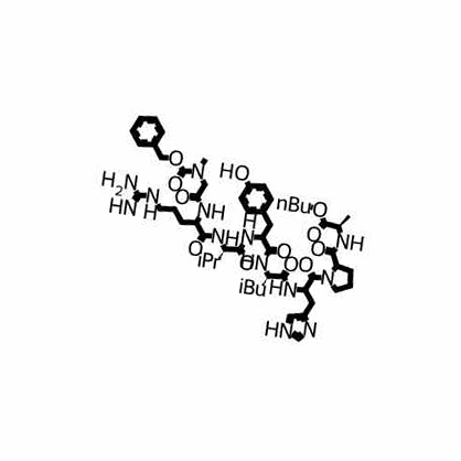 CCCCOC(=O)[C@@H](C)NC(=O)C1CCCN1C(=O)C(Cc1c[nH]cn1)NC(=O)[C@@H](NC(=O)C(Cc1ccc(O)cc1)NC(=O)[C@@H](NC(=O)C(CCCNC(=N)N)NC(=O)CN(C)C(=O)OCc1ccccc1)C(C)C)C(C)CC